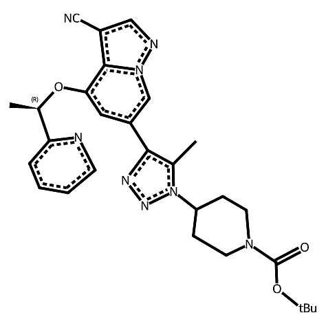 Cc1c(-c2cc(O[C@H](C)c3ccccn3)c3c(C#N)cnn3c2)nnn1C1CCN(C(=O)OC(C)(C)C)CC1